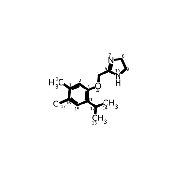 Cc1cc(OCC2=NCCN2)c(C(C)C)cc1Cl